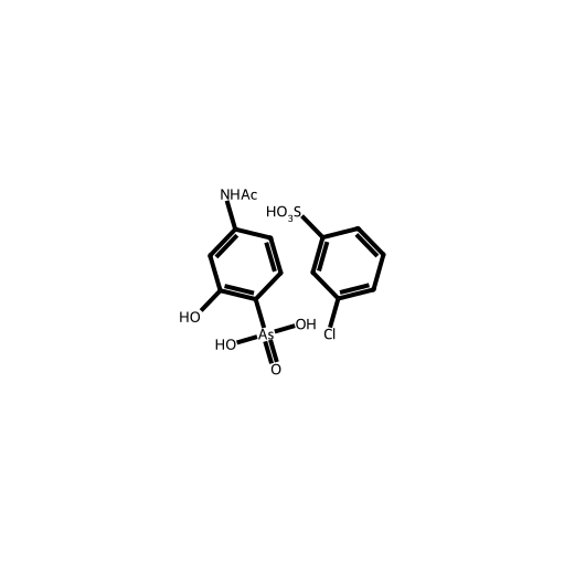 CC(=O)Nc1ccc([As](=O)(O)O)c(O)c1.O=S(=O)(O)c1cccc(Cl)c1